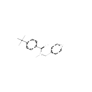 CN(Cc1ccncc1)C(=O)c1ccc(C(C)(C)C)cc1